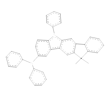 CC1(C)c2ccccc2-c2cc3c(cc21)c1cc(N(c2ccccc2)c2ccccc2)ccc1n3-c1ccccc1